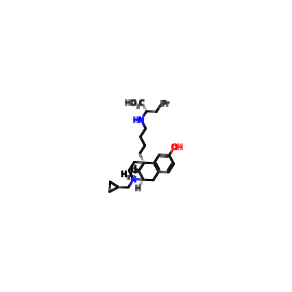 CC(C)C[C@H](NCCCC[C@]12CCN(CC3CC3)[C@H](Cc3ccc(O)cc31)[C@@H]2C)C(=O)O